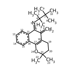 C=C1C(=NC(C)(C)C(C)(C)C)c2ccccc2C2=C1CCC(C)(C)O2